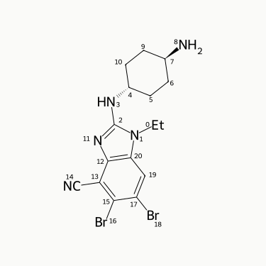 CCn1c(N[C@H]2CC[C@H](N)CC2)nc2c(C#N)c(Br)c(Br)cc21